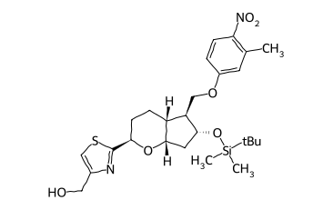 Cc1cc(OC[C@@H]2[C@H]3CC[C@H](c4nc(CO)cs4)O[C@H]3C[C@H]2O[Si](C)(C)C(C)(C)C)ccc1[N+](=O)[O-]